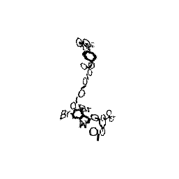 COC(=O)C1CC(OC(C)=O)CC(Oc2cn(C)c3cc(Br)c(OCCOCCOCCOC(=O)Oc4ccc([N+](=O)[O-])cc4)c(Br)c23)O1